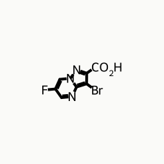 O=C(O)c1nn2cc(F)cnc2c1Br